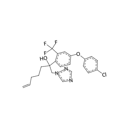 C=CCCCC(O)(Cn1cncn1)c1ccc(Oc2ccc(Cl)cc2)cc1C(F)(F)F